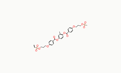 C=CS(=O)(=O)OCCCOc1ccc(C(=O)Oc2ccc(OC(=O)c3ccc(OCCCOS(C)(=O)=O)cc3)c(C)c2)cc1